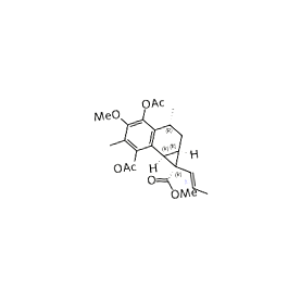 C/C=C/[C@]1(C(=O)OC)[C@@H]2C[C@@H](C)c3c(OC(C)=O)c(OC)c(C)c(OC(C)=O)c3[C@@H]21